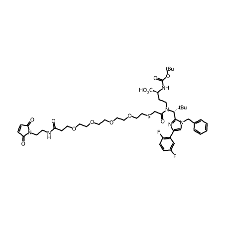 CC(C)(C)OC(=O)N[C@@H](CCN(C(=O)CSCCOCCOCCOCCOCCC(=O)NCCN1C(=O)C=CC1=O)[C@@H](c1nc(-c2cc(F)ccc2F)cn1Cc1ccccc1)C(C)(C)C)C(=O)O